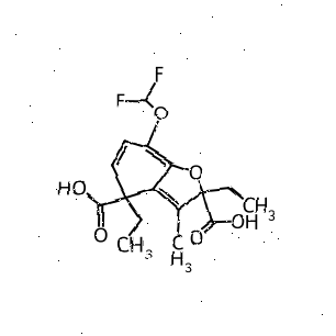 CCC1(C(=O)O)C=CC(OC(F)F)=C2OC(CC)(C(=O)O)C(C)=C21